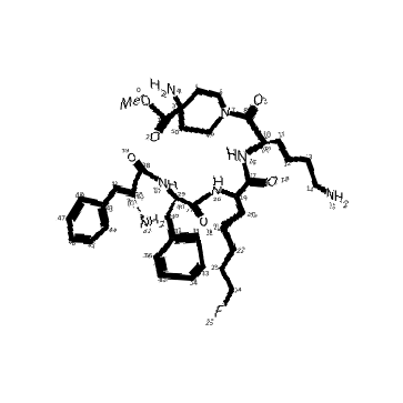 COC(=O)C1(N)CCN(C(=O)[C@@H](CCCCN)NC(=O)C(CCCCCF)NC(=O)[C@@H](Cc2ccccc2)NC(=O)[C@H](N)Cc2ccccc2)CC1